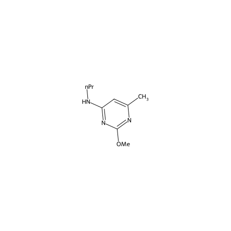 CCCNc1cc(C)nc(OC)n1